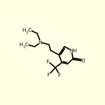 CCN(CC)CCc1c[nH]c(=O)cc1C(F)(F)F